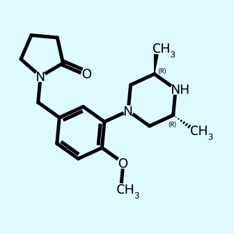 COc1ccc(CN2CCCC2=O)cc1N1C[C@@H](C)N[C@H](C)C1